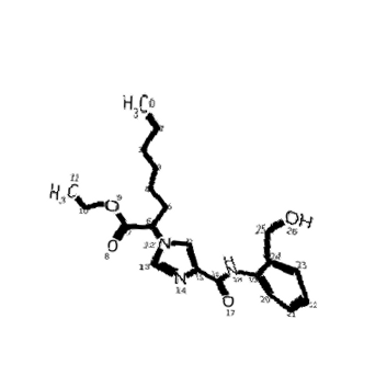 CCCCCCC(C(=O)OCC)n1cnc(C(=O)Nc2ccccc2CO)c1